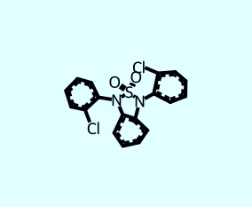 O=S1(=O)N(c2ccccc2Cl)c2ccccc2N1c1ccccc1Cl